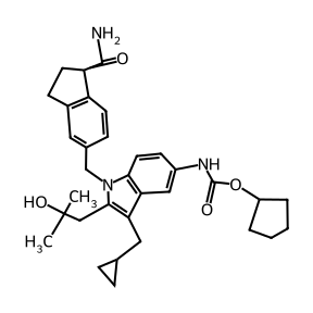 CC(C)(O)Cc1c(CC2CC2)c2cc(NC(=O)OC3CCCC3)ccc2n1Cc1ccc2c(c1)CCC2C(N)=O